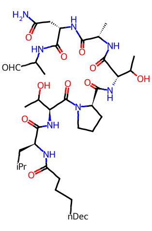 CCCCCCCCCCCCCC(=O)N[C@@H](CC(C)C)C(=O)N[C@H](C(=O)N1CCC[C@@H]1C(=O)N[C@H](C(=O)N[C@@H](C)C(=O)N[C@@H](CC(N)=O)C(=O)NC(C)C=O)C(C)O)C(C)O